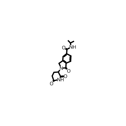 CC(C)NC(=O)c1ccc2c(c1)CN(C1CCC(=O)NC1=O)C2=O